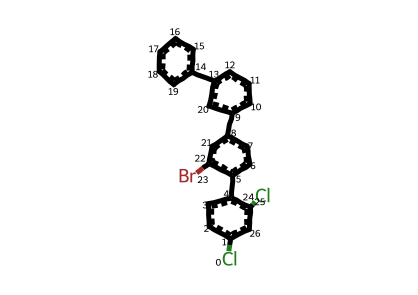 Clc1ccc(-c2ccc(-c3cccc(-c4ccccc4)c3)cc2Br)c(Cl)c1